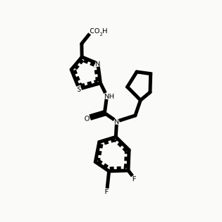 O=C(O)Cc1csc(NC(=O)N(CC2CCCC2)c2ccc(F)c(F)c2)n1